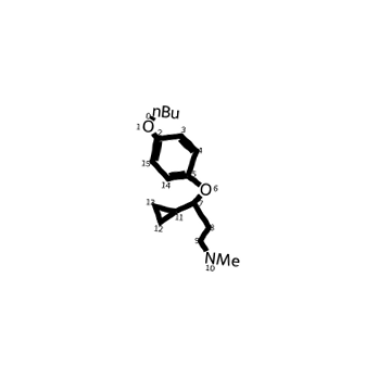 CCCCOc1ccc(OC(CCNC)C2CC2)cc1